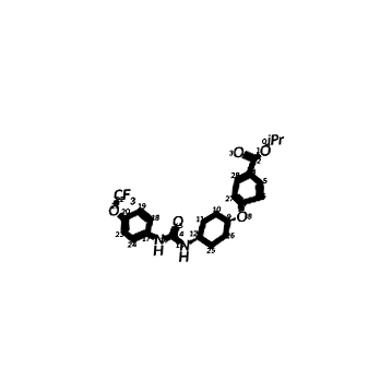 CC(C)OC(=O)c1ccc(O[C@H]2CC[C@H](NC(=O)Nc3ccc(OC(F)(F)F)cc3)CC2)cc1